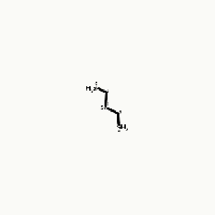 [SiH3][CH2][Sn][CH2][SiH3]